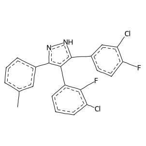 Cc1cccc(-c2n[nH]c(-c3ccc(F)c(Cl)c3)c2-c2cccc(Cl)c2F)c1